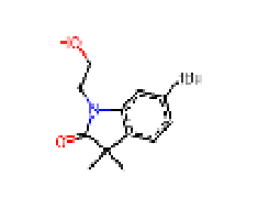 CC(C)(C)c1ccc2c(c1)N(CCO)C(=O)C2(C)C